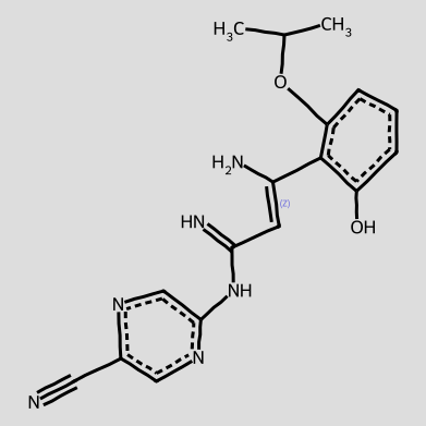 CC(C)Oc1cccc(O)c1/C(N)=C/C(=N)Nc1cnc(C#N)cn1